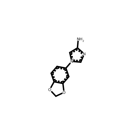 Nc1cn(-c2ccc3c(c2)OCO3)cn1